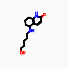 O=c1ccc2c([nH]1)CCCC2NCCCCCO